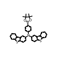 CC1(C)OB(c2ccc(N(c3ccc4sc5ccccc5c4c3)c3ccc4sc5ccccc5c4c3)cc2)OC1(C)C